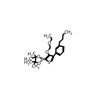 CCCCc1cccc(-c2csc(B3OC(C)(C)C(C)(C)O3)c2OCOCC)c1